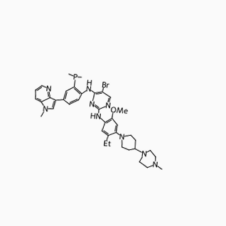 CCc1cc(Nc2ncc(Br)c(Nc3ccc(-c4cn(C)c5cccnc45)cc3P(C)C)n2)c(OC)cc1N1CCC(N2CCN(C)CC2)CC1